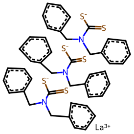 S=C([S-])N(Cc1ccccc1)Cc1ccccc1.S=C([S-])N(Cc1ccccc1)Cc1ccccc1.S=C([S-])N(Cc1ccccc1)Cc1ccccc1.[La+3]